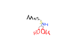 CSCSNC(CO)CO